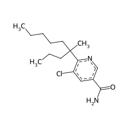 CCCCCC(C)(CCC)c1ncc(C(N)=O)cc1Cl